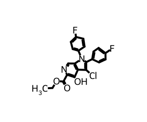 CCOC(=O)c1ncc2c(c1O)c(Cl)c(-c1ccc(F)cc1)n2-c1ccc(F)cc1